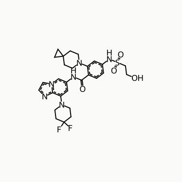 O=C(Nc1cc(N2CCC(F)(F)CC2)c2nccn2c1)c1ccc(NS(=O)(=O)CCO)cc1N1CCC2(CC1)CC2